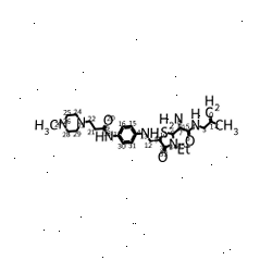 C=C(C)CNC(=O)[C@@H](N)C1S[C@H](CNc2ccc(NC(=O)CCN3CCN(C)CC3)cc2)C(=O)N1CC